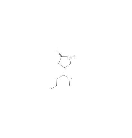 CCCC(OC)[C@H]1CNC(=O)C1